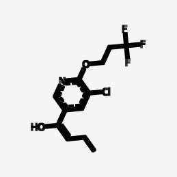 CC/C=C(/O)c1cnc(OCCC(F)(F)F)c(Cl)c1